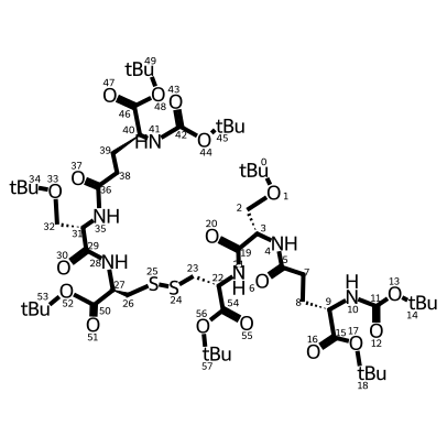 CC(C)(C)OC[C@H](NC(=O)CC[C@H](NC(=O)OC(C)(C)C)C(=O)OC(C)(C)C)C(=O)N[C@@H](CSSC[C@H](NC(=O)[C@H](COC(C)(C)C)NC(=O)CC[C@H](NC(=O)OC(C)(C)C)C(=O)OC(C)(C)C)C(=O)OC(C)(C)C)C(=O)OC(C)(C)C